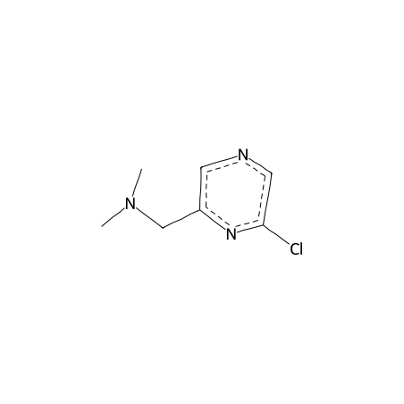 CN(C)Cc1cncc(Cl)n1